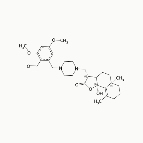 COc1cc(CN2CCN(C[C@H]3C(=O)O[C@]4(O)C5=C(C)CCC[C@]5(C)CCC34)CC2)c(C=O)c(OC)c1